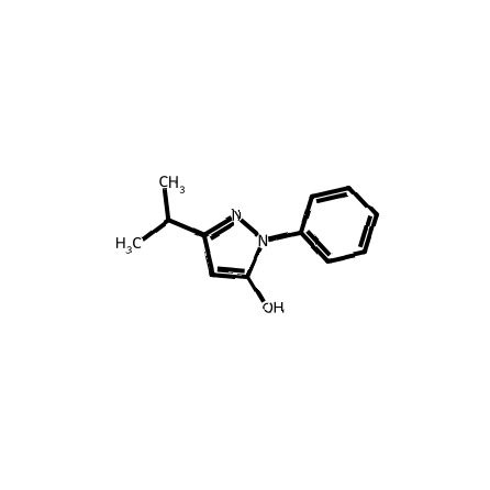 CC(C)c1cc(O)n(-c2ccccc2)n1